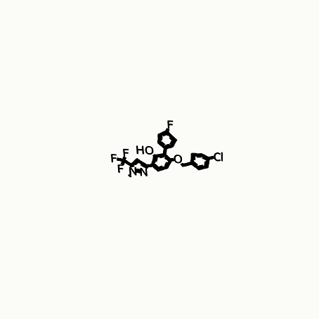 Cn1nc(-c2ccc(OCc3ccc(Cl)cc3)c(-c3ccc(F)cc3)c2O)cc1C(F)(F)F